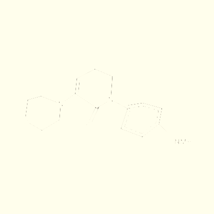 CNc1ccc(N2CCC=C(N3CCOCC3)C2=O)cc1